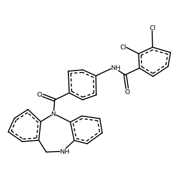 O=C(Nc1ccc(C(=O)N2c3ccccc3CNc3ccccc32)cc1)c1cccc(Cl)c1Cl